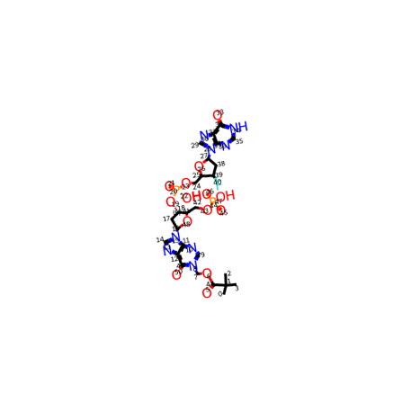 CC(C)(C)C(=O)OCn1cnc2c(ncn2C2C[C@H](OP(=O)(O)OCC3OC(n4cnc5c(=O)[nH]cnc54)CC3F)C(COP(=O)(O)O)O2)c1=O